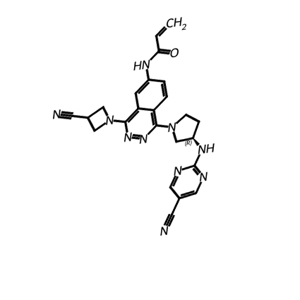 C=CC(=O)Nc1ccc2c(N3CC[C@@H](Nc4ncc(C#N)cn4)C3)nnc(N3CC(C#N)C3)c2c1